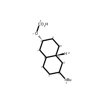 CCCCC1CCC2C[C@H](OC(=O)O)CC[C@@H]2C1